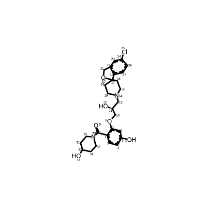 O=C(c1ccc(O)cc1OC[C@@H](O)CN1CCC2(CC1)OCc1cc(Cl)ccc12)N1CCC(O)CC1